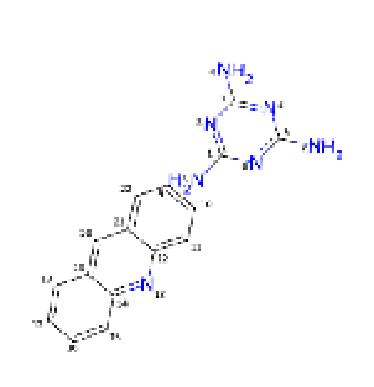 Nc1nc(N)nc(N)n1.c1ccc2nc3ccccc3cc2c1